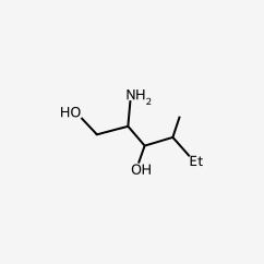 CCC(C)C(O)C(N)CO